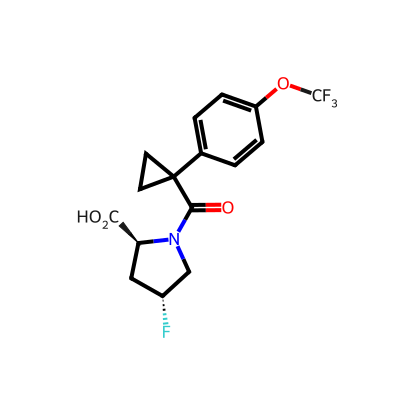 O=C(O)[C@@H]1C[C@@H](F)CN1C(=O)C1(c2ccc(OC(F)(F)F)cc2)CC1